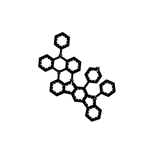 c1ccc(N2c3ccccc3B3c4c2cccc4-n2c4c3cccc4c3cc4c5ccccc5n(-c5ccccc5)c4c(-c4ccncc4)c32)cc1